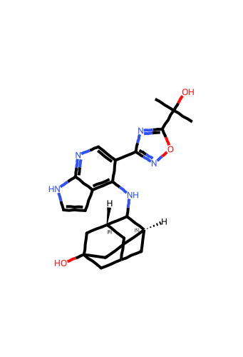 CC(C)(O)c1nc(-c2cnc3[nH]ccc3c2NC2[C@@H]3CC4C[C@H]2CC(O)(C4)C3)no1